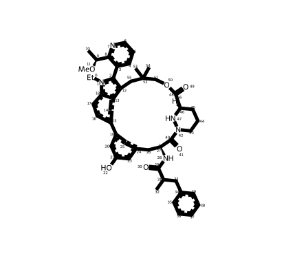 CCn1c(-c2cccnc2[C@H](C)OC)c2c3cc(ccc31)-c1cc(O)cc(c1)C[C@H](NC(=O)C(C)Cc1ccccc1)C(=O)N1CCC[C@H](N1)C(=O)OCC(C)(C)C2